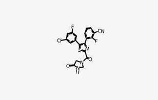 N#Cc1cccc(-c2nc(C(=O)N3CNC(=O)C3)sc2-c2cc(F)cc(Cl)c2)c1F